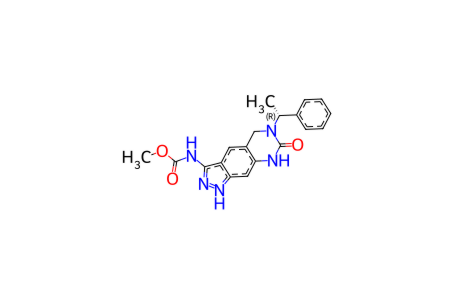 COC(=O)Nc1n[nH]c2cc3c(cc12)CN([C@H](C)c1ccccc1)C(=O)N3